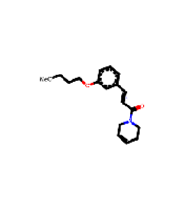 COCCCOc1cccc(/C=C/C(=O)N2CC=CCC2)c1